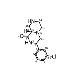 O=C1NC(c2cccc(Cl)c2)CN2CCNC[C@@H]12